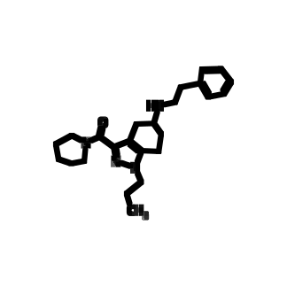 CCCn1nc(C(=O)N2CCCCC2)c2c1CCC(NCCc1ccccc1)C2